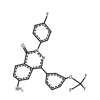 Nc1ccc2c(=O)n(-c3ccc(F)cc3)nc(-c3cccc(OC(F)(F)F)c3)c2c1